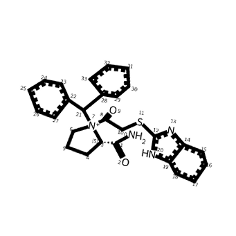 NC(=O)[C@@H]1CCC[N+]1(C(=O)CSc1nc2ccccc2[nH]1)C(c1ccccc1)c1ccccc1